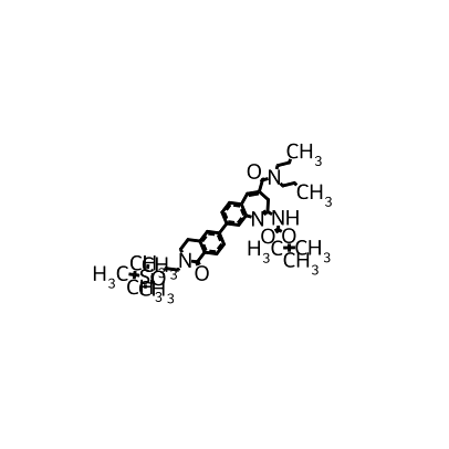 CCCN(CCC)C(=O)C1=Cc2ccc(-c3ccc4c(c3)CCN(CCO[Si](C)(C)C(C)(C)C)C4=O)cc2N=C(NC(=O)OC(C)(C)C)C1